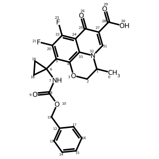 CC1COc2c(C3(NC(=O)OCc4ccccc4)CC3)c(F)c(F)c3c(=O)c(C(=O)O)cn1c23